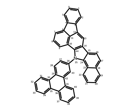 c1ccc2c(c1)-c1cccc3c1c-2cc1c2ccc4ccccc4c2n(-c2ccc4c5ccccc5c5ccccc5c4c2)c31